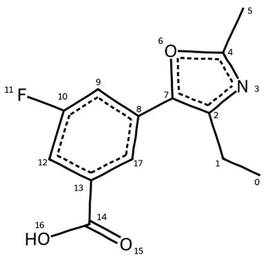 CCc1nc(C)oc1-c1cc(F)cc(C(=O)O)c1